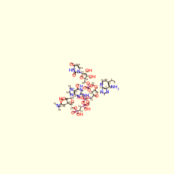 CCC1=C(N)c2ncn([C@@H]3OC(COP(=O)(O)OP(=O)(O)CCP(=O)(O)OC[C@H]4O[C@@H](n5c[n+](C)c6c(=O)[nH]c(N)nc65)[C@H](O)[C@@H]4CC(=O)N(C)C)[C@@H](OP(=O)([O-])OC[C@H]4O[C@@H](n5ccc(=O)[nH]c5=O)[C@H](O)[C@@H]4O)[C@H]3OC)c2N=CC1